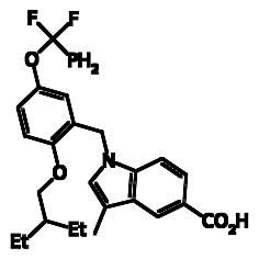 CCC(CC)COc1ccc(OC(F)(F)P)cc1Cn1cc(C)c2cc(C(=O)O)ccc21